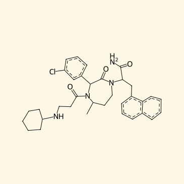 CC1CCN(C(Cc2cccc3ccccc23)C(N)=O)C(=O)C(c2cccc(Cl)c2)N1C(=O)CCNC1CCCCC1